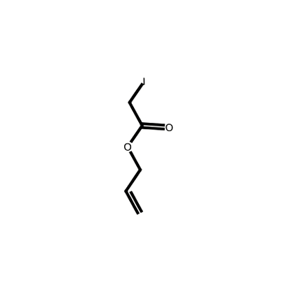 C=CCOC(=O)CI